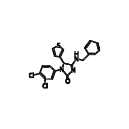 O=C1N=C(NCc2ccccc2)C(c2ccsc2)N1c1ccc(Cl)c(Cl)c1